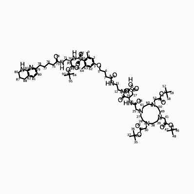 Cc1cc(OCCCC(=O)NCCNC(=O)C(CS(=O)(=O)O)NC(=O)CN2CCN(CC(=O)OC(C)(C)C)CCN(CC(=O)OC(C)(C)C)CCN(CC(=O)OC(C)(C)C)CC2)cc(C)c1S(=O)(=O)N[C@H](CNC(=O)CCCCc1ccc2c(n1)NCCC2)C(=O)OC(C)(C)C